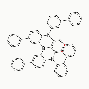 c1ccc(-c2cccc(N3c4ccc(-c5ccccc5)cc4B4c5cc(-c6ccccc6)ccc5N(c5ccccc5-c5ccccc5)c5cccc3c54)c2)cc1